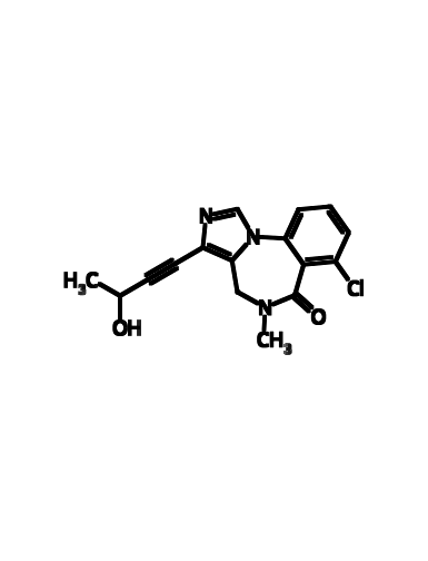 CC(O)C#Cc1ncn2c1CN(C)C(=O)c1c(Cl)cccc1-2